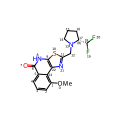 COc1cccc2c(=O)[nH]c3sc(CN4CCC[C@@H]4C(F)F)nc3c12